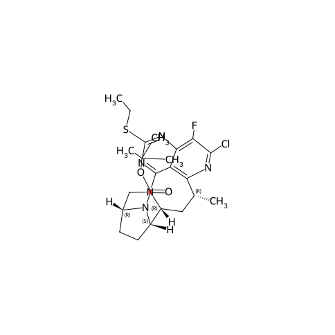 CCSc1nc2c3c(nc(Cl)c(F)c3n1)[C@H](C)C[C@@H]1[C@@H]3CC[C@H](CN21)N3C(=O)OC(C)(C)C